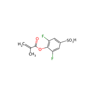 C=C(C)C(=O)Oc1c(F)cc(S(=O)(=O)O)cc1F